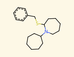 c1ccc(CSC2CCCCCN2C2CCCCCC2)cc1